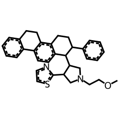 COCCN1CC(c2nccs2)C(C2c3ccc4c(c3CCC2c2ccccc2)CCc2ccccc2-4)C1